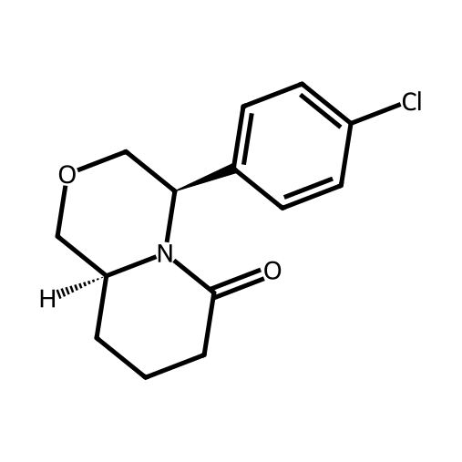 O=C1CCC[C@H]2COC[C@@H](c3ccc(Cl)cc3)N12